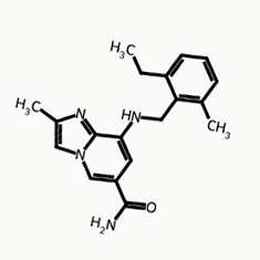 CCc1cccc(C)c1CNc1cc(C(N)=O)cn2cc(C)nc12